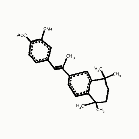 COc1cc(C=C(C)c2ccc3c(c2)C(C)(C)CCC3(C)C)ccc1OC(C)=O